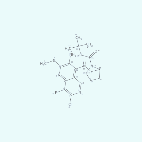 CSc1nc2c(F)c(Cl)ncc2c(NC2C3CC2N(C(=O)OC(C)(C)C)C3)c1N